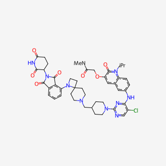 CNC(=O)COc1cc2cc(Nc3nc(N4CCC(CN5CCC6(CC5)CCN6c5cccc6c5C(=O)N(C5CCC(=O)NC5=O)C6=O)CC4)ncc3Cl)ccc2n(C(C)C)c1=O